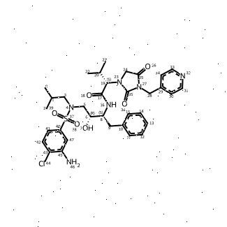 CC(C)CN(C[C@@H](O)[C@H](Cc1ccccc1)NC(=O)[C@H](C(C)C)N1CC(=O)N(Cc2ccncc2)C1=O)S(=O)(=O)c1ccc(Cl)c(N)c1